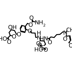 CN(CCCCCC(=O)NC(CS(=O)(=O)O)C(=O)NCCCOc1cc(OC2CC(O)CC(C(=O)O)O2)ccc1COC(N)=O)C(=O)/C=C\C=O